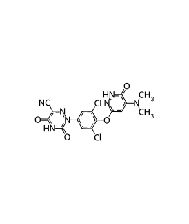 CN(C)c1cc(Oc2c(Cl)cc(-n3nc(C#N)c(=O)[nH]c3=O)cc2Cl)n[nH]c1=O